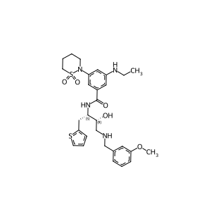 CCNc1cc(C(=O)N[C@@H](Cc2cccs2)[C@H](O)CNCc2cccc(OC)c2)cc(N2CCCCS2(=O)=O)c1